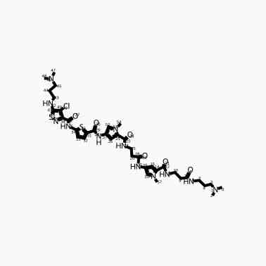 CN(C)CCCNC(=O)CCNC(=O)c1cc(NC(=O)CCNC(=O)c2cc(NC(=O)c3ccc(NC(=O)c4nsc(NCCCN(C)C)c4Cl)s3)cn2C)cn1C